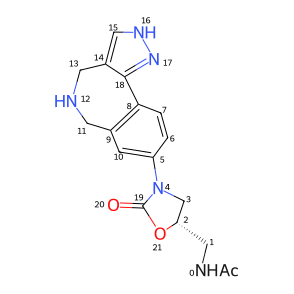 CC(=O)NC[C@H]1CN(c2ccc3c(c2)CNCc2c[nH]nc2-3)C(=O)O1